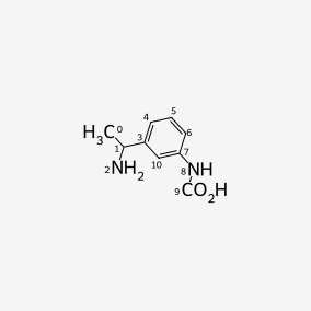 CC(N)c1cccc(NC(=O)O)c1